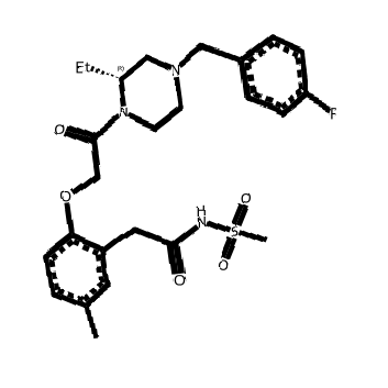 CC[C@@H]1CN(Cc2ccc(F)cc2)CCN1C(=O)COc1ccc(C)cc1CC(=O)NS(C)(=O)=O